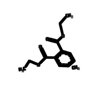 C.CCOC(=O)c1ccccc1C(=O)OCC